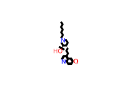 CCCCCCCN1CC[C@H](CCCc2ccnc3ccc(OC)cc23)[C@@H](C(C)(C)O)C1